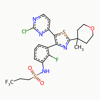 CC1(c2nc(-c3cccc(NS(=O)(=O)CCC(F)(F)F)c3F)c(-c3ccnc(Cl)n3)s2)CCOCC1